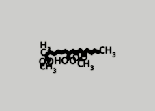 CCCCCC(CCCC(CCCCCC(C)C(=O)OC)C(=O)O)OC(C)=O